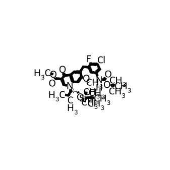 COC(=O)c1cn([C@H](CO[Si](C)(C)C(C)(C)C)C(C)C)c2cc(OC)c(Cc3cc(NC(=O)OC(C)(C)C)cc(Cl)c3F)cc2c1=O